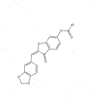 CCC(=O)Oc1ccc2c(c1)O/C(=C/c1ccc3c(c1)OCO3)C2=O